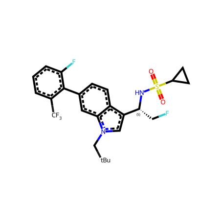 CC(C)(C)Cn1cc([C@@H](CF)NS(=O)(=O)C2CC2)c2ccc(-c3c(F)cccc3C(F)(F)F)cc21